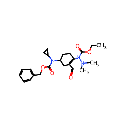 CCOC(=O)N(C1=C(C=O)CC(N(C(=O)OCc2ccccc2)C2CC2)CC1)N(C)C